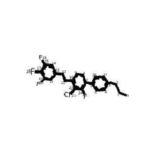 CCCc1ccc(-c2ccc(CCc3cc(F)c(F)c(F)c3)c(Cl)c2F)cc1